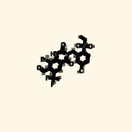 CCS(=O)(=O)c1ccc(Cl)cc1Cn1c(=O)[nH]c2c(Br)c(C=O)c(C(F)(F)F)cc2c1=O